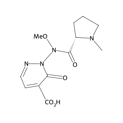 CON(C(=O)[C@@H]1CCCN1C)n1nccc(C(=O)O)c1=O